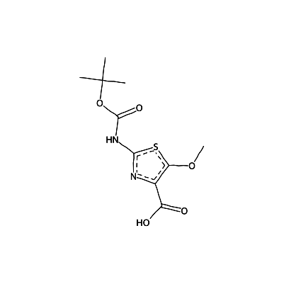 COc1sc(NC(=O)OC(C)(C)C)nc1C(=O)O